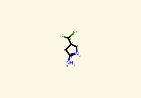 NC1=NCC(C(F)F)C1